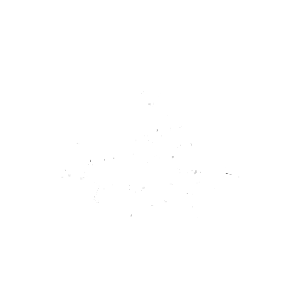 CC(C)C[C@@H](NC(=O)C(O)C1CCCN1C(=O)OC(C)(C)C)C(=O)OCc1ccccc1.CC(C)[C@H](N)C(=O)O